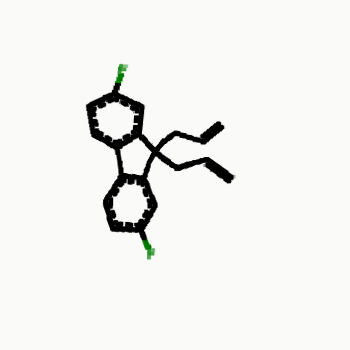 C=CCC1(CC=C)c2cc(F)ccc2-c2ccc(F)cc21